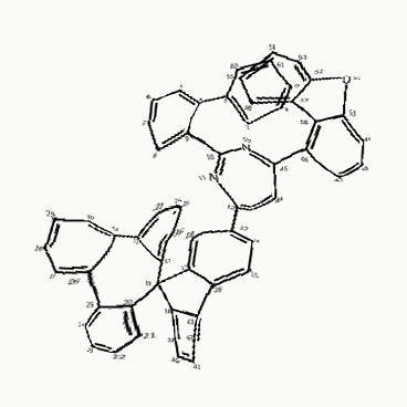 c1ccc(-c2ccccc2-c2nc(-c3ccc4c(c3)C3(c5ccccc5-c5ccccc5-c5ccccc53)c3ccccc3-4)cc(-c3cccc4oc5ccccc5c34)n2)cc1